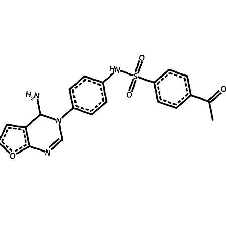 CC(=O)c1ccc(S(=O)(=O)Nc2ccc(N3C=Nc4occc4C3N)cc2)cc1